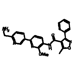 COc1nc(-c2ccc(CN)nc2)ccc1NC(=O)c1c(-c2ccccc2)noc1C